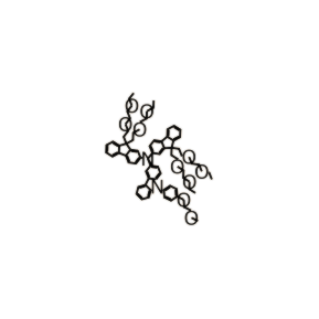 CCOCCOCCC1(CCOCCOCC)c2ccccc2-c2ccc(N(c3ccc4c(c3)C(CCOCCOCC)(CCOCCOCC)c3ccccc3-4)c3ccc4c(c3)c3ccccc3n4-c3ccc(OCCOC)cc3)cc21